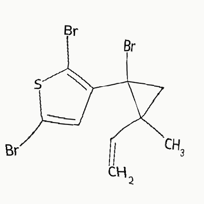 C=CC1(C)CC1(Br)c1cc(Br)sc1Br